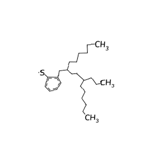 CCCCCCC(CCC)CCC(CCCCCC)Cc1ccccc1[S]